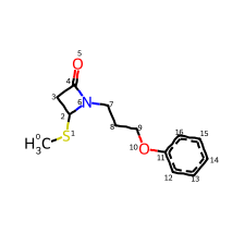 CSC1CC(=O)N1CCCOc1ccccc1